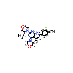 C[C@H]1COCCN1c1nc(N2CCOC[C@@H]2C)c2ccc(-c3ccc(C#N)c(F)c3)nc2n1